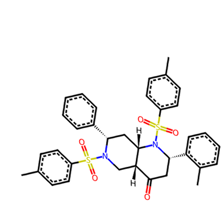 Cc1ccc(S(=O)(=O)N2C[C@H]3C(=O)C[C@@H](c4ccccc4C)N(S(=O)(=O)c4ccc(C)cc4)[C@H]3C[C@H]2c2ccccc2)cc1